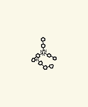 c1ccc(-c2ccc(-c3nc(-c4ccc(-c5ccccc5)cc4)nc(-c4ccc5c6ccccc6n(-c6ccc(-c7cccc(-c8ccccc8)c7)cc6)c5c4)n3)cc2)cc1